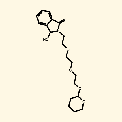 O=C1c2ccccc2C(O)N1CCOCCOCCOC1CCCCO1